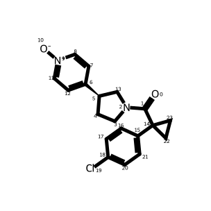 O=C(N1CC[C@@H](c2cc[n+]([O-])cc2)C1)C1(c2ccc(Cl)cc2)CC1